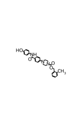 Cc1ccccc1COC(=O)N1CCN(c2ccc(C(=O)Nc3ccc(O)cc3)cc2)CC1